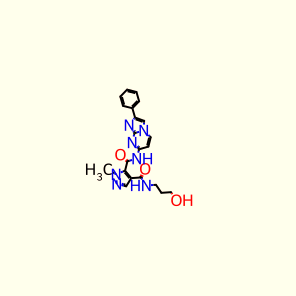 Cn1ncc(C(=O)NCCCO)c1C(=O)Nc1ccn2cc(-c3ccccc3)nc2n1